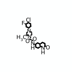 C[C@@H]1CN(c2ccc(Cl)c(F)c2)CCN1C(=O)C(=O)Nc1ccc2[nH]c(=O)ccc2c1